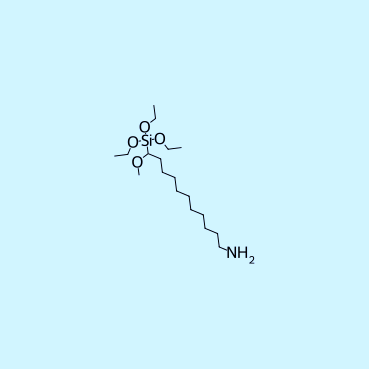 CCO[Si](OCC)(OCC)C(CCCCCCCCCCN)OC